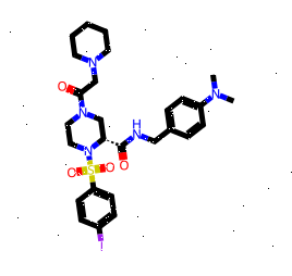 CN(C)c1ccc(CNC(=O)[C@H]2CN(C(=O)CN3CCCCC3)CCN2S(=O)(=O)c2ccc(I)cc2)cc1